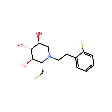 O[C@H]1[C@H](O)[C@@H](O)CN(CCc2ccccc2F)[C@@H]1CF